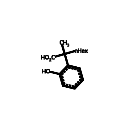 CCCCCCC(C)(C(=O)O)c1ccccc1O